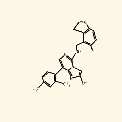 Cc1ccc(-c2cnc(NCc3c(F)ccc4c3CCO4)n3cc(C#N)nc23)c(C)c1